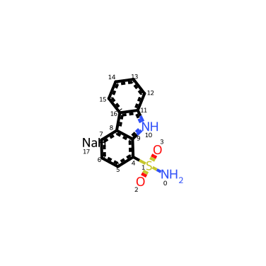 NS(=O)(=O)c1cccc2c1[nH]c1ccccc12.[NaH]